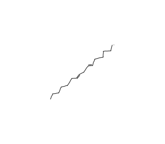 [CH2]CCCCC=CCC=CCCCCCC